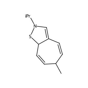 CC1C=CC2=CN(C(C)C)SC2C=C1